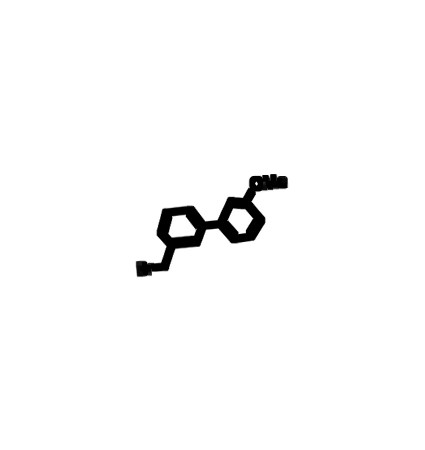 COc1cccc(-c2cccc(CBr)c2)c1